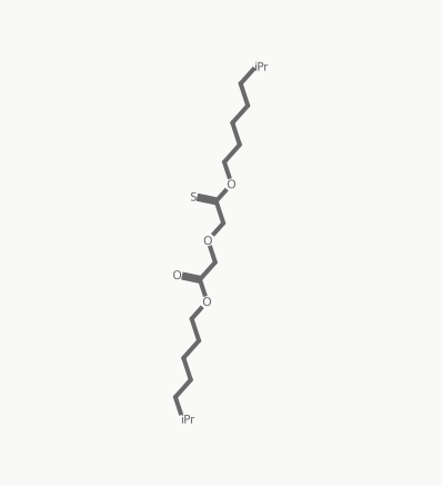 CC(C)CCCCCOC(=O)COCC(=S)OCCCCCC(C)C